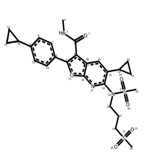 CNC(=O)c1c(-c2ccc(C3CC3)cc2)oc2nc(N(CCCS(C)(=O)=O)S(C)(=O)=O)c(C3CC3)cc12